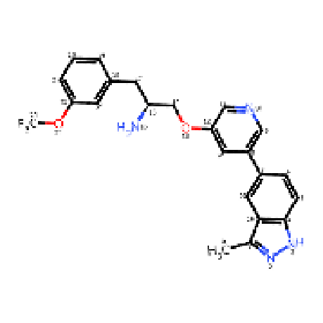 Cc1n[nH]c2ccc(-c3cncc(OC[C@@H](N)Cc4cccc(OC(F)(F)F)c4)c3)cc12